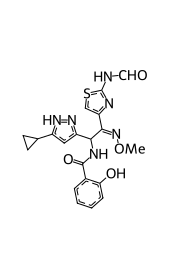 CON=C(c1csc(NC=O)n1)C(NC(=O)c1ccccc1O)c1cc(C2CC2)[nH]n1